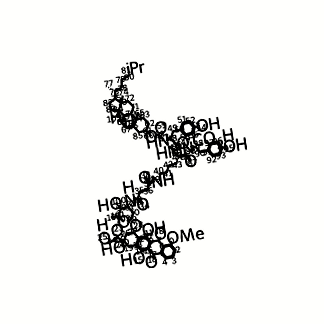 COc1cccc2c1C(=O)c1c(O)c3c(c(O)c1C2=O)C[C@@](O)(C(=O)CO)C[C@@H]3O[C@H]1C[C@H](NC(=O)CCC(=O)NCCCC[C@@H](NC(=O)C(Cc2ccc(O)cc2)NC(=O)OC2CCC3(C)C(=CCC4[C@@H]3CCC3(C)C([C@H](C)CCCC(C)C)CC[C@@H]43)C2)C(=O)NC(Cc2ccc(O)cc2)C(=O)O)[C@H](O)[C@H](C)O1